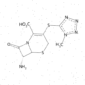 Cn1nnnc1SC1=C(C(=O)O)N2C(=O)[C@@H](N)C2SC1